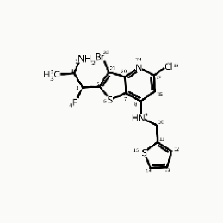 CC(N)[C@H](F)c1sc2c(NCc3cccs3)cc(Cl)nc2c1Br